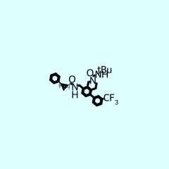 CC(C)(C)NC(=O)N1CCc2c(-c3cccc(C(F)(F)F)c3)ccc(CNC(=O)[C@@H]3C[C@H]3c3ccccc3)c2C1